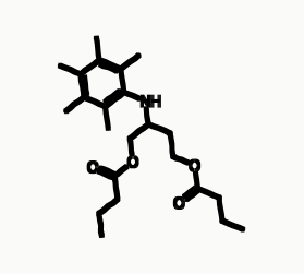 CCCC(=O)OCCC(COC(=O)CCC)Nc1c(C)c(C)c(C)c(C)c1C